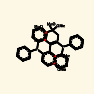 COC1=C(OC)C(OC)(OC)CC(P(c2ccccc2)c2ccccc2)=C1c1c(P(c2ccccc2)c2ccccc2)ccc(OC)c1OC